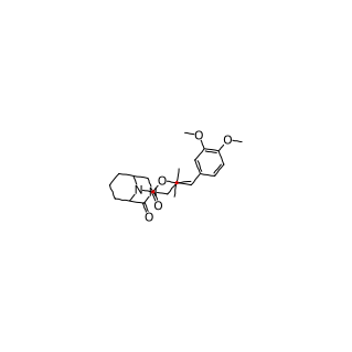 COc1ccc(CCCN2CC3CCCC(C2=O)N3C(=O)OC(C)(C)C)cc1OC